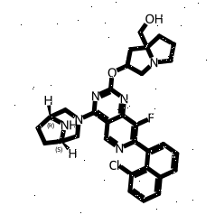 OCC12CCCN1CC(Oc1nc(N3C[C@H]4CC[C@@H](C3)N4)c3cnc(-c4cccc5cccc(Cl)c45)c(F)c3n1)C2